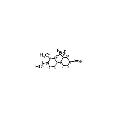 CC1CC(C2CCC(C#N)CC2C(F)(F)F)CCC1CO